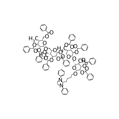 C[C@H]1[C@H](OC(=O)c2ccccc2)[C@@H](OC(=O)c2ccccc2)[C@H](OC[C@H]2O[C@@H](OC[C@H]3O[C@@H](OC[C@H]4O[C@@H](OCCCCC5N(c6ccccc6)CCN5c5ccccc5)[C@H](OC(=O)c5ccccc5)[C@@H](OC(=O)c5ccccc5)[C@@H]4C)[C@H](OC(=O)c4ccccc4)[C@@H](OC(=O)c4ccccc4)[C@@H]3C)[C@H](OC(=O)c3ccccc3)[C@@H](OC(=O)c3ccccc3)[C@@H]2C)O[C@@H]1COC(=O)c1ccccc1